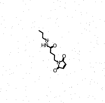 CCC[N]NC(=O)CCCN1C(=O)C=CC1=O